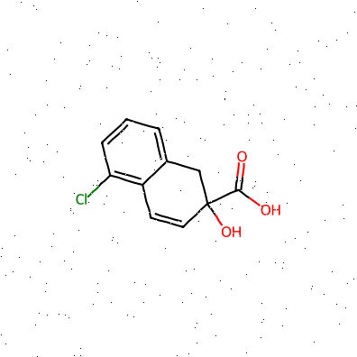 O=C(O)C1(O)C=Cc2c(Cl)cccc2C1